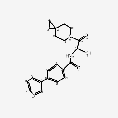 CC(NC(=O)c1ccc(-c2cccnc2)cc1)C(=O)N1CCC2(CC1)CC2